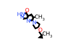 Cc1cc2c(=O)[nH]ncc2nc1N1CCC(OCC2(C)CC2)CC1